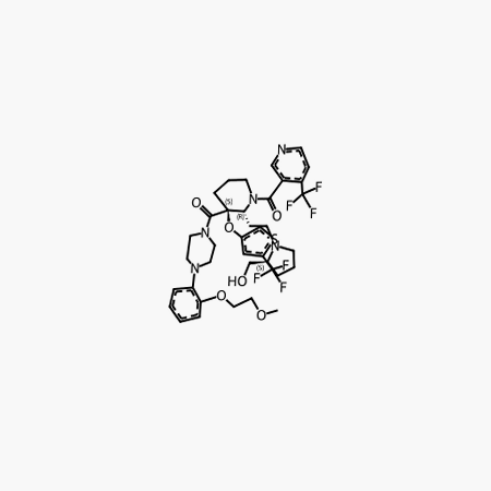 COCCOc1ccccc1N1CCN(C(=O)[C@]2(Oc3csc(C(F)(F)F)c3)CCCN(C(=O)c3cnccc3C(F)(F)F)[C@@H]2CCN2CCC[C@H]2CO)CC1